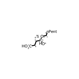 CCCCCCO[PH](=O)CCC(=O)O.[Ti]